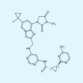 Cc1ccnc([C@H]2C[C@@H]2C(=O)Nc2cc(NCc3cn4cc(C5(F)CC5)cc(N5CC(=O)N(C)C5=O)c4n3)ncn2)n1